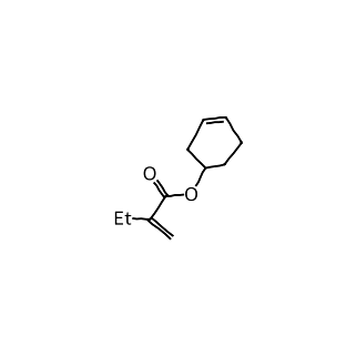 C=C(CC)C(=O)OC1CC=CCC1